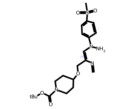 C=N/C(=C\N(N)c1ccc(S(C)(=O)=O)cc1)COC1CCN(C(=O)OC(C)(C)C)CC1